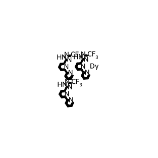 FC(F)(F)c1n[nH]c(-c2cccc(-c3ccccn3)n2)n1.FC(F)(F)c1n[nH]c(-c2cccc(-c3ccccn3)n2)n1.FC(F)(F)c1n[nH]c(-c2cccc(-c3ccccn3)n2)n1.[Dy]